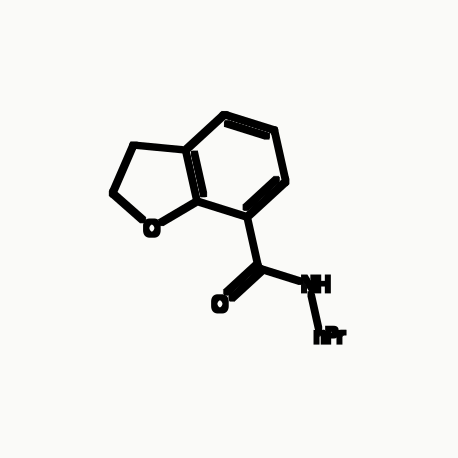 [CH2]CCNC(=O)c1cccc2c1OCC2